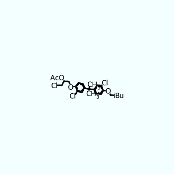 CCC(C)COc1ccc(C(C)(C)c2ccc(OCC(CCl)OC(C)=O)c(Cl)c2)cc1Cl